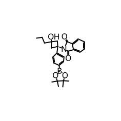 CCC[C@]1(O)C[C@@](c2ccc(B3OC(C)(C)C(C)(C)O3)cc2)(N2C(=O)c3ccccc3C2=O)C1